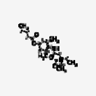 CCCCC(=O)Oc1cc(C)c(NC(=O)C[N+](CC)(CC)CC)c(C)c1